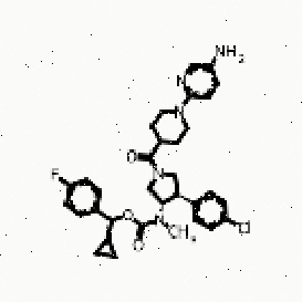 CN(C(=O)OC(c1ccc(F)cc1)C1CC1)[C@@H]1CN(C(=O)C2CCN(c3ccc(N)cn3)CC2)C[C@H]1c1ccc(Cl)cc1